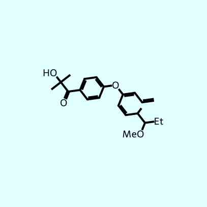 C=C/C=C(\C=C/C(C)C(CC)OC)Oc1ccc(C(=O)C(C)(C)O)cc1